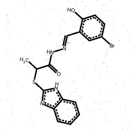 CC(Sc1nc2ccccc2[nH]1)C(=O)N/N=C/c1cc(Br)ccc1O